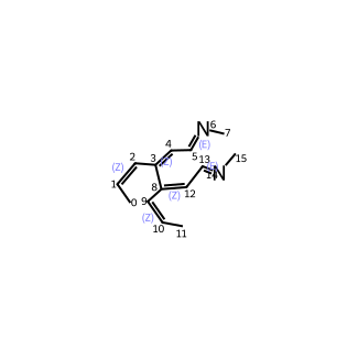 C\C=C/C(=C/C=N/C)C(/C=C\C)=C\C=N\C